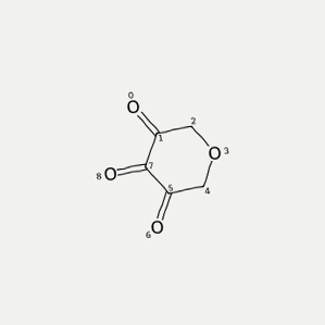 O=C1COCC(=O)C1=O